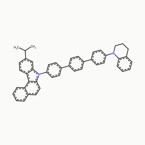 CC(C)c1ccc2c3c4ccccc4ccc3n(-c3ccc(-c4ccc(-c5ccc(N6CCCc7ccccc76)cc5)cc4)cc3)c2c1